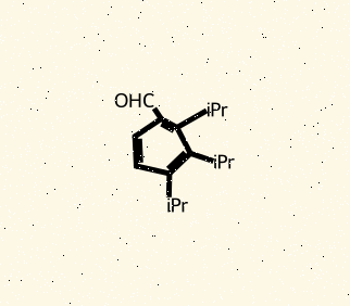 CC(C)c1ccc(C=O)c(C(C)C)c1C(C)C